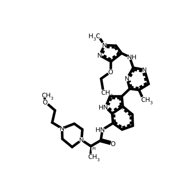 CCOc1nn(C)cc1Nc1ncc(C)c(-c2c[nH]c3c(NC(=O)[C@@H](C)N4CCN(CCOC)CC4)cccc23)n1